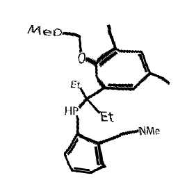 CCC(CC)(Pc1ccccc1CNC)c1cc(C)cc(C)c1OCOC